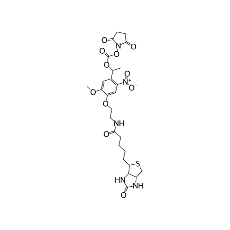 COc1cc(C(C)OC(=O)ON2C(=O)CCC2=O)c([N+](=O)[O-])cc1OCCNC(=O)CCCCC1SCC2NC(=O)NC21